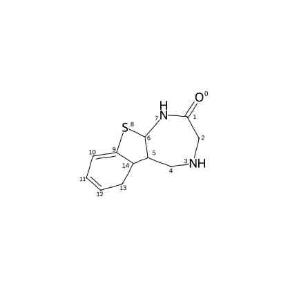 O=C1CNCC2C(N1)SC1=CC=CCC12